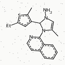 CCc1cc(C2N(N)C=C(C)N2c2nccc3ccccc23)c(C)s1